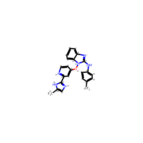 FC(F)(F)c1ccc(Nc2nc3ccccc3n2Oc2ccnc(-c3ncc(C(F)(F)F)[nH]3)c2)cc1